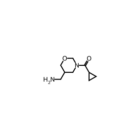 NCC1COCN(C(=O)C2CC2)C1